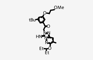 CCC(CC)Oc1nn2c(=N)n(CC(=O)c3cc(OCCCOC)cc(C(C)(C)C)c3)nc2cc1C